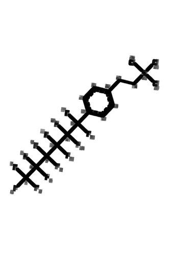 FC(F)(F)C(F)(F)C(F)(F)C(F)(F)C(F)(F)C(F)(F)c1ccc(CC[Si](Cl)(Cl)Cl)cc1